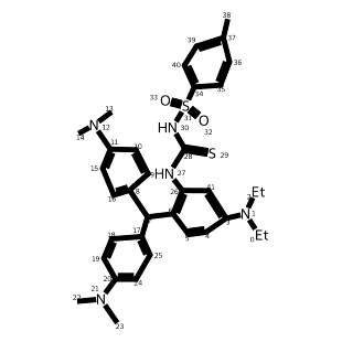 CCN(CC)c1ccc(C(c2ccc(N(C)C)cc2)c2ccc(N(C)C)cc2)c(NC(=S)NS(=O)(=O)c2ccc(C)cc2)c1